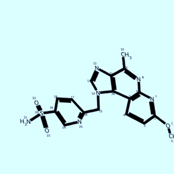 COc1ccc2c(n1)nc(C)c1ncn(Cc3ccc(S(N)(=O)=O)cn3)c12